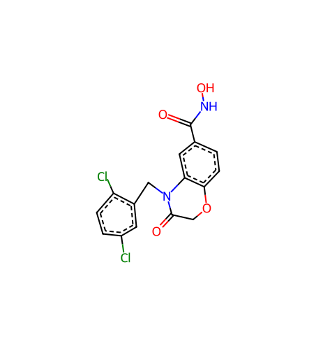 O=C(NO)c1ccc2c(c1)N(Cc1cc(Cl)ccc1Cl)C(=O)CO2